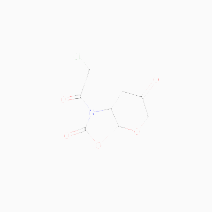 O=C1COC2OC(=O)N(C(=O)CCl)C2C1